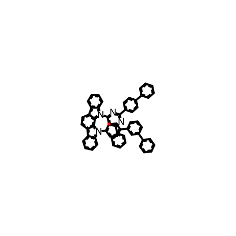 c1ccc(-c2ccc(-c3nc(-c4ccccc4)cc(-n4c5ccccc5c5ccc6c7ccccc7n(-c7ccc(-c8cccc(-c9ccccc9)c8)cc7)c6c54)n3)cc2)cc1